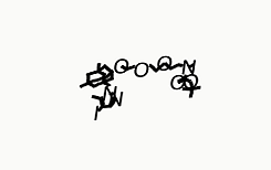 Cc1c(I)cnn1CC12CC3(C)CC(C)(C1)CC(OCCOCCOCCN(C)C(=O)OC(C)(C)C)(C3)C2